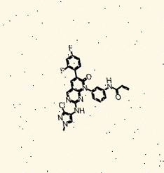 C=CC(=O)Nc1cccc(-n2c(=O)c(-c3ccc(F)cc3F)cc3cnc(Nc4cn(C)nc4Cl)nc32)c1